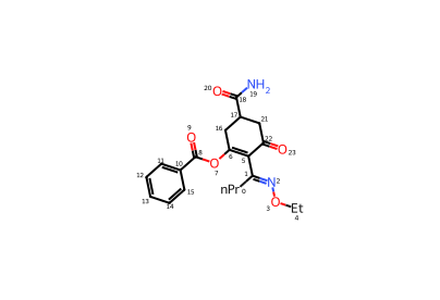 CCCC(=NOCC)C1=C(OC(=O)c2ccccc2)CC(C(N)=O)CC1=O